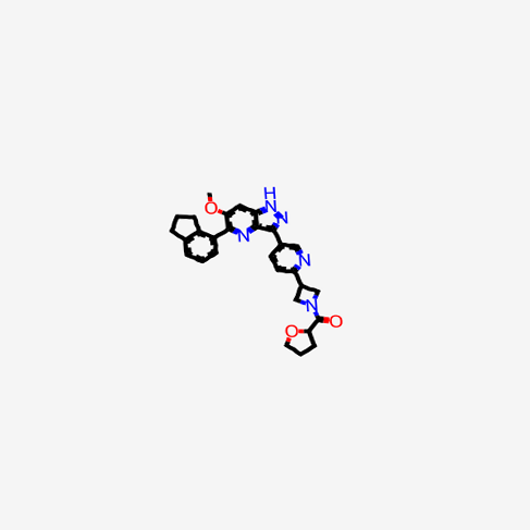 COc1cc2[nH]nc(-c3ccc(C4CN(C(=O)C5CCCO5)C4)nc3)c2nc1-c1cccc2c1CCC2